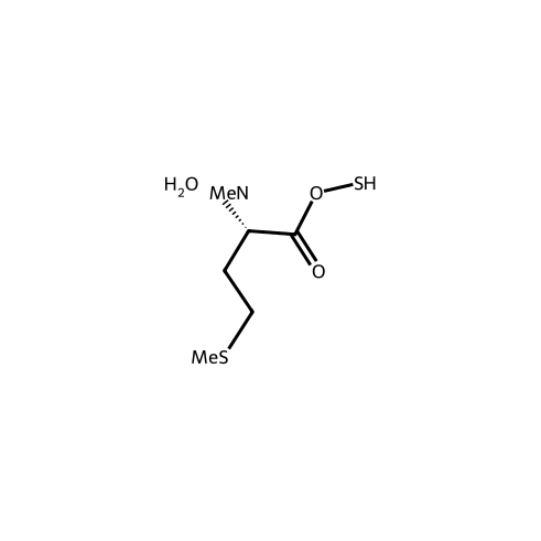 CN[C@@H](CCSC)C(=O)OS.O